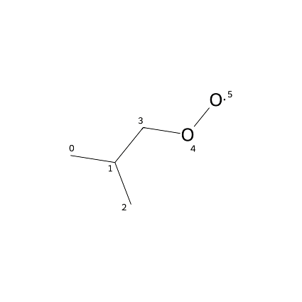 CC(C)CO[O]